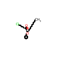 CCCCCCCCCCC[C@H](C[C@H]1OC(=O)[C@@H]1CCCCCCl)OCc1ccccc1